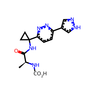 C[C@H](NC(=O)O)C(=O)NC1(c2ccc(-c3cn[nH]c3)nn2)CC1